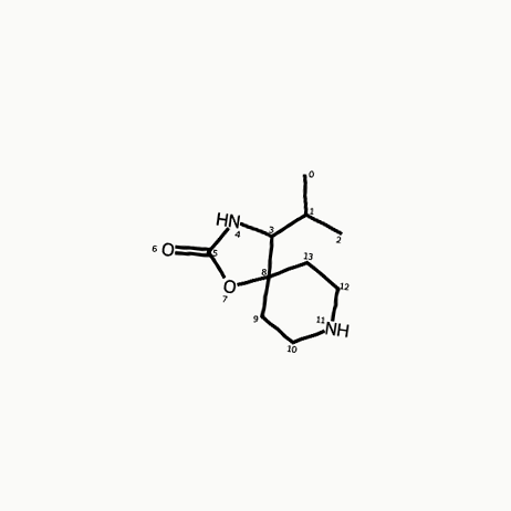 CC(C)C1NC(=O)OC12CCNCC2